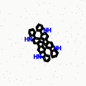 c1ccc2c(c1)[nH]c1cc3c(cc12)C1(c2cc4c(cc2-3)[nH]c2ccccc24)c2cc3c(cc2-c2cc4[nH]c5ccccc5c4cc21)[nH]c1ccccc13